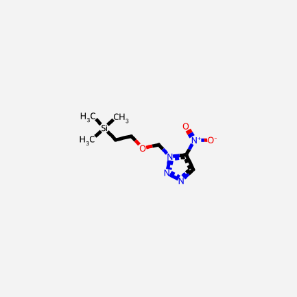 C[Si](C)(C)CCOCn1nncc1[N+](=O)[O-]